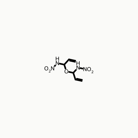 C=CC(N[N+](=O)[O-])OC(C=C)N[N+](=O)[O-]